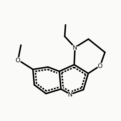 CCN1CCOc2cnc3ccc(OC)cc3c21